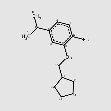 CC(C)c1ccc(F)c(OCC2CCCC2)c1